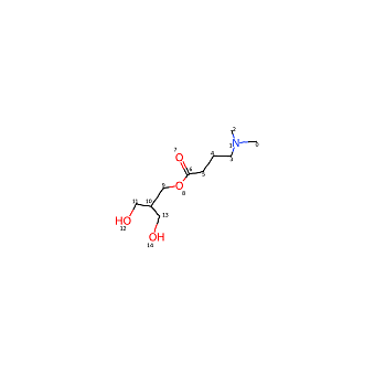 CN(C)CCCC(=O)OCC(CO)CO